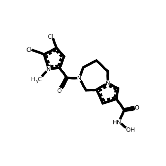 Cn1c(C(=O)N2CCCn3cc(C(=O)NO)cc3C2)cc(Cl)c1Cl